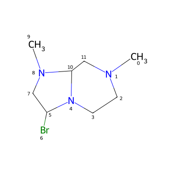 CN1CCN2C(Br)CN(C)C2C1